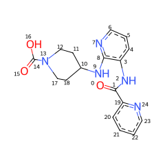 O=C(Nc1cccnc1NC1CCN(C(=O)O)CC1)c1ccccn1